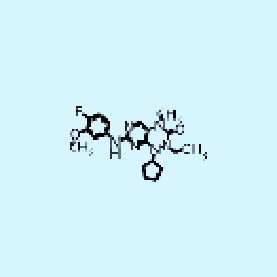 CCN1C(=O)N(C)c2cnc(Nc3ccc(F)c(OC)c3)nc2N1C1CCCC1